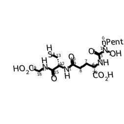 CCCCCN(O)C(=O)N[C@@H](CCC(=O)N[C@@H](CS)C(=O)NCC(=O)O)C(=O)O